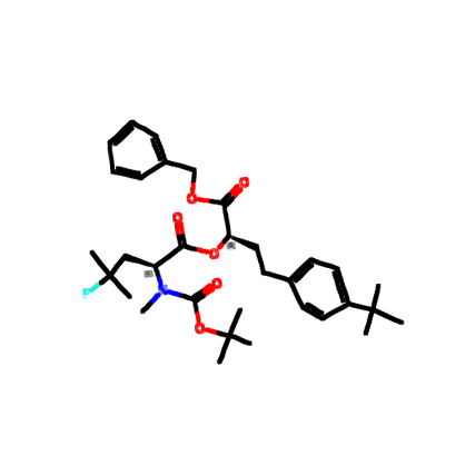 CN(C(=O)OC(C)(C)C)[C@@H](CC(C)(C)F)C(=O)O[C@H](CCc1ccc(C(C)(C)C)cc1)C(=O)OCc1ccccc1